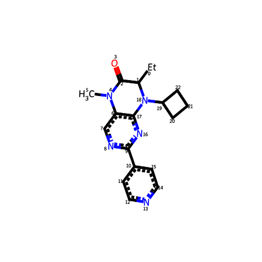 CCC1C(=O)N(C)c2cnc(-c3ccncc3)nc2N1C1CCC1